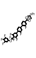 CCCC12COC(c3ccc(-c4ccc(-c5cc(F)c(C(F)(F)Oc6cc(F)c(F)c(F)c6)c(F)c5)c(F)c4)c(F)c3)(OC1)OC2